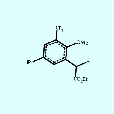 CCOC(=O)C(Br)c1cc(C(C)C)cc(C(F)(F)F)c1OC